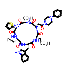 CC(C)C[C@@H]1NC(=O)[C@@H](c2cccs2)NC(=O)[C@H](C(=O)O)NC(=O)[C@H](CC(=O)N2CCN(c3ccccc3)CC2)NC(=O)[C@@H](CC(=O)O)NC(=O)[C@@H](Cc2c[nH]c3ccccc23)NC1=O